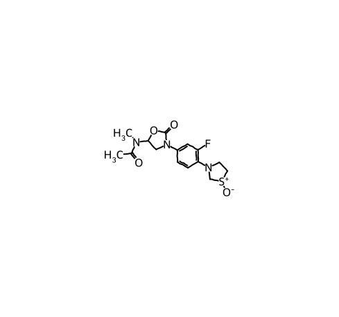 CC(=O)N(C)C1CN(c2ccc(N3CC[S+]([O-])C3)c(F)c2)C(=O)O1